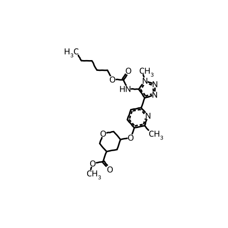 CCCCCOC(=O)Nc1c(-c2ccc(OC3COCC(C(=O)OC)C3)c(C)n2)nnn1C